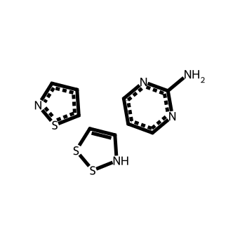 C1=CSSN1.Nc1ncccn1.c1cnsc1